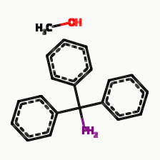 CO.PC(c1ccccc1)(c1ccccc1)c1ccccc1